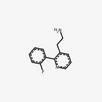 NCCc1cccnc1-c1ccccc1F